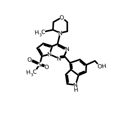 CC1COCCN1c1nc(-c2cc(CO)cc3[nH]ccc23)nn2c(S(C)(=O)=O)ccc12